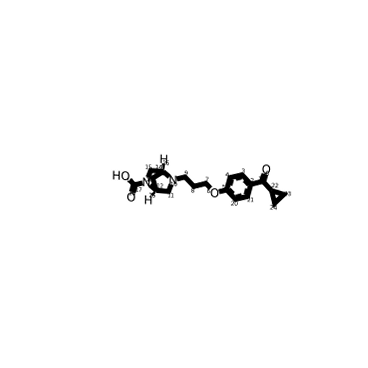 O=C(c1ccc(OCCCN2C[C@H]3C[C@@H]2CN3C(=O)O)cc1)C1CC1